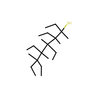 CCC(C)(S)C(C)(CC)C(C)(CC)C(C)(CC)C(C)(CC)CC